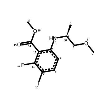 COC[C@H](C)Nc1ccc(I)c(F)c1C(=O)OC